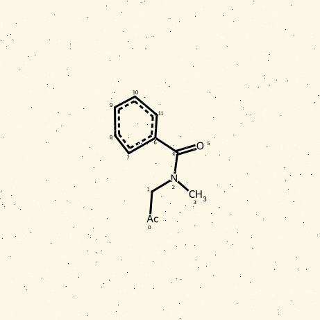 CC(=O)CN(C)C(=O)c1ccccc1